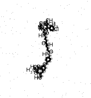 Cc1sc2c(c1C)C(c1ccc(Cl)cc1)=NC(CC(=O)NCCCC(=O)NCCCC(=O)NCc1ccc(COc3ccc4c(c3)N(C)[C@@H](C(C)C)C(=O)N[C@H](CO)C4)cc1)c1nnc(C)n1-2